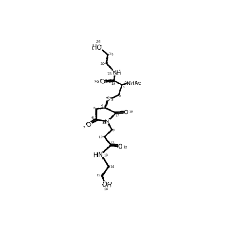 CC(=O)NC(CSC1CC(=O)N(CCC(=O)NCCO)C1=O)C(=O)NCCO